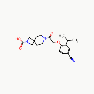 CC(C)c1cc(C#N)ccc1OCC(=O)N1CCC2(CC1)CN(C(=O)O)C2